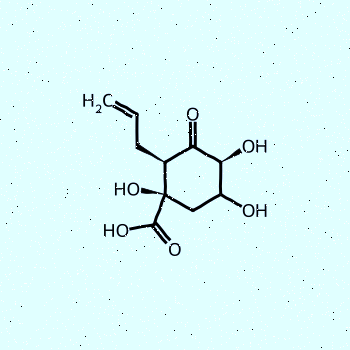 C=CC[C@H]1C(=O)[C@@H](O)C(O)C[C@]1(O)C(=O)O